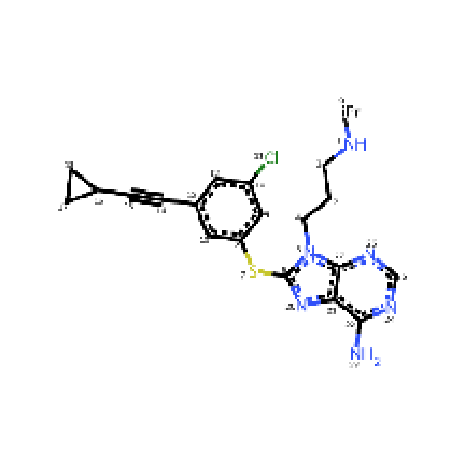 CC(C)NCCCn1c(Sc2cc(Cl)cc(C#CC3CC3)c2)nc2c(N)ncnc21